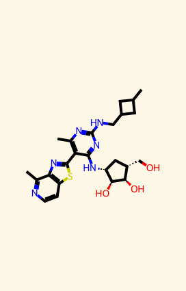 Cc1nc(NCC2CC(C)C2)nc(N[C@@H]2C[C@H](CO)[C@@H](O)[C@H]2O)c1-c1nc2c(C)nccc2s1